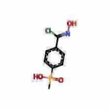 CP(=O)(O)c1ccc(C(Cl)=NO)cc1